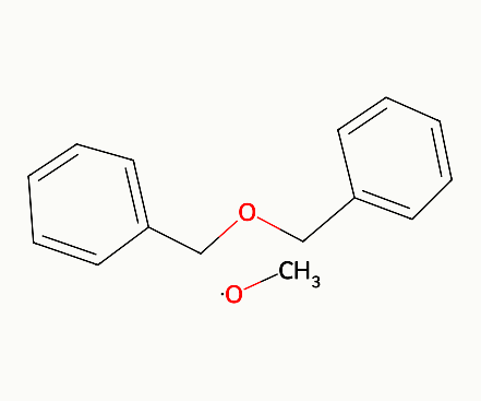 C[O].c1ccc(COCc2ccccc2)cc1